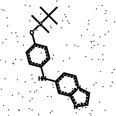 CC(C)(C)[Si](C)(C)Oc1ccc(Nc2ccn3ccnc3c2)cc1